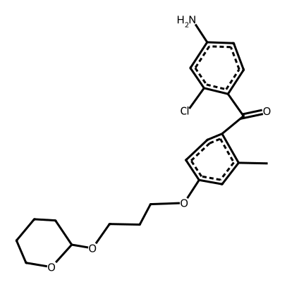 Cc1cc(OCCCOC2CCCCO2)ccc1C(=O)c1ccc(N)cc1Cl